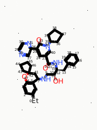 CCc1ccc2c(c1)C(NC[C@@H](O)[C@H](Cc1ccccc1)NC(=O)c1cc(-c3cnccn3)c(=O)n(C3CCCC3)c1)CC1(CCCC1)O2